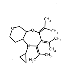 CC(C)=C1OC2COCCC2N(C2CC2)C(=C(C)C)C1=C(C)C